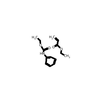 C=CC(=O)OCC.CCOC(=O)Nc1ccccc1